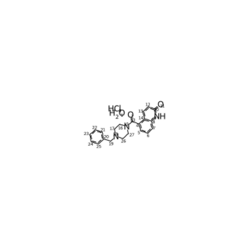 Cl.O.O=C(c1cccc2[nH]c(=O)ccc12)N1CCN(Cc2ccccc2)CC1